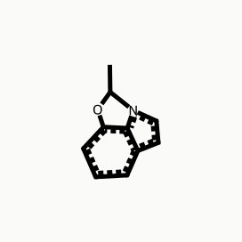 CC1Oc2cccc3ccn1c23